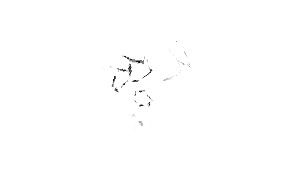 Cn1cc(-c2cc(S(C)(=O)=O)ccc2OCC2CCCC2)c2cc[nH]c2c1=O